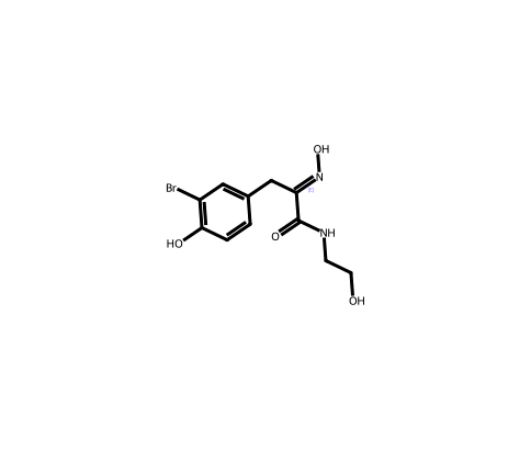 O=C(NCCO)/C(Cc1ccc(O)c(Br)c1)=N/O